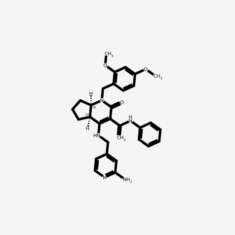 C=C(Nc1ccccc1)C1=C(NCc2ccnc(N)c2)[C@H]2CCC[C@H]2N(Cc2ccc(OC)cc2OC)C1=O